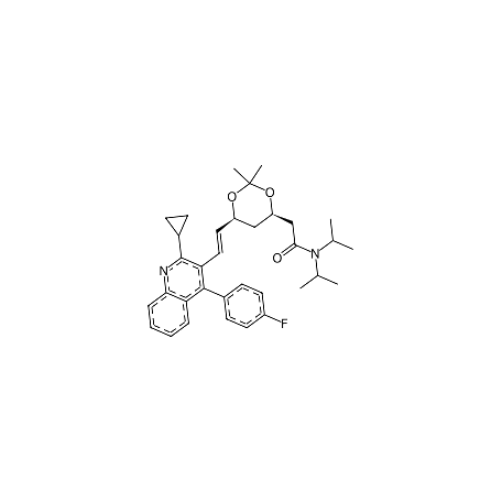 CC(C)N(C(=O)C[C@H]1C[C@@H](/C=C/c2c(C3CC3)nc3ccccc3c2-c2ccc(F)cc2)OC(C)(C)O1)C(C)C